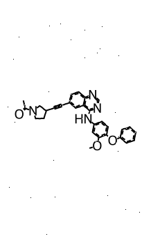 COc1cc(Nc2ncnc3ccc(C#CC4CCN(C(C)=O)C4)cc23)ccc1Oc1ccccc1